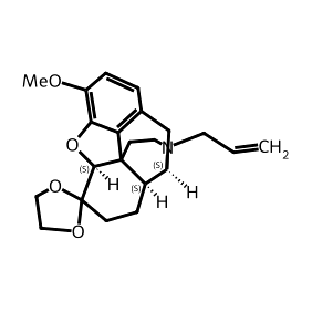 C=CCN1CCC23c4c5ccc(OC)c4O[C@@H]2C2(CC[C@@H]3[C@@H]1C5)OCCO2